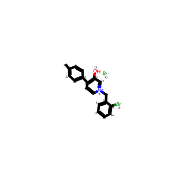 Cc1ccc(-c2cc[n+](Cc3ccccc3Br)cc2O)cc1.[Br-]